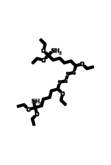 CCOC(CCCCC([SiH3])(OCC)OCC)SSSSC(CCCCC([SiH3])(OCC)OCC)OCC